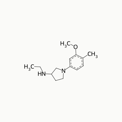 CCNC1CCN(c2ccc(C)c(OC)c2)C1